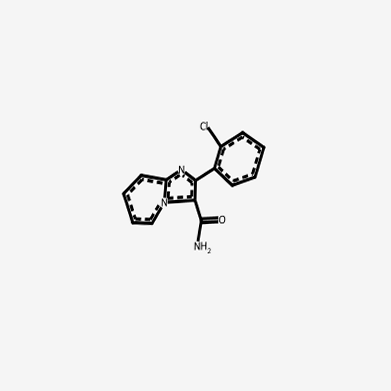 NC(=O)c1c(-c2ccccc2Cl)nc2ccccn12